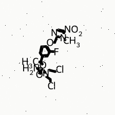 CC(OP(N)(=O)N(CCCl)CCCl)c1ccc(OCc2ncc([N+](=O)[O-])n2C)c(F)c1